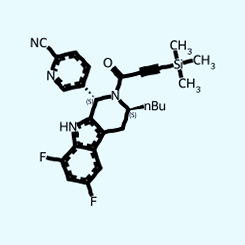 CCCC[C@H]1Cc2c([nH]c3c(F)cc(F)cc23)[C@H](c2ccc(C#N)nc2)N1C(=O)C#C[Si](C)(C)C